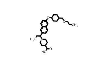 CCCOCC1CCC(Oc2ccc3cc(C(CC)N4CCC(C(=O)O)CC4)ccc3c2)CC1